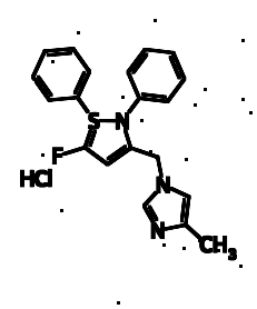 Cc1cn(CC2=CC(F)=S(c3ccccc3)N2c2ccccc2)cn1.Cl